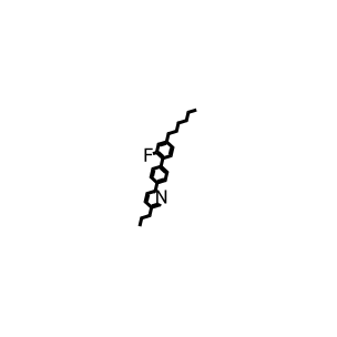 CCCCCCc1ccc(-c2ccc(-c3ccc(CCC)cn3)cc2)c(F)c1